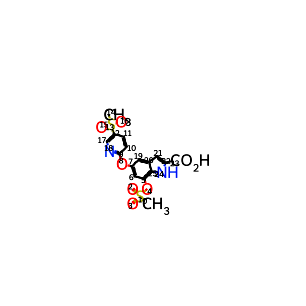 CS(=O)(=O)Oc1cc(Oc2ccc(S(C)(=O)=O)cn2)cc2cc(C(=O)O)[nH]c12